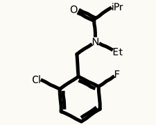 CCN(Cc1c(F)cccc1Cl)C(=O)C(C)C